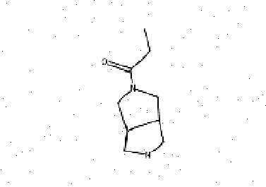 CCC(=O)N1CC2C[N]CC2C1